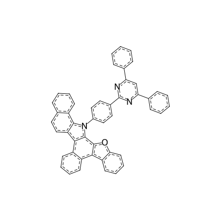 c1ccc(-c2cc(-c3ccccc3)nc(-c3ccc(-n4c5c6ccccc6ccc5c5c6ccccc6c6c7ccccc7oc6c54)cc3)n2)cc1